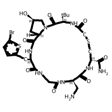 CC(C)(C)[C@@H]1NC(=O)CSC[C@H](C(N)=O)NC(=O)[C@@H](CN)NC(=O)CNC(=O)[C@@H](Cc2ccc(Br)s2)NC(=O)[C@@H]2C[C@@H](O)CN2C1=O